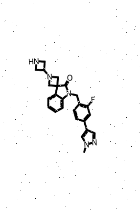 Cn1cc(-c2ccc(CN3C(=O)C4(CN(C5CNC5)C4)c4ccccc43)c(F)c2)cn1